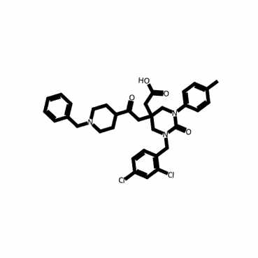 Cc1ccc(N2CC(CC(=O)O)(CC(=O)C3CCN(Cc4ccccc4)CC3)CN(Cc3ccc(Cl)cc3Cl)C2=O)cc1